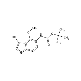 COc1c(NC(=O)OC(C)(C)C)ccn2ncc(O)c12